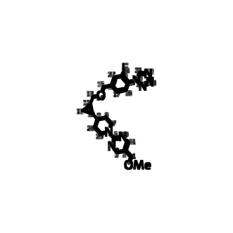 COCc1cnc(N2CCC([C@H]3C[C@H]3COCc3ccc(-n4cnnn4)c(F)c3)CC2)nc1